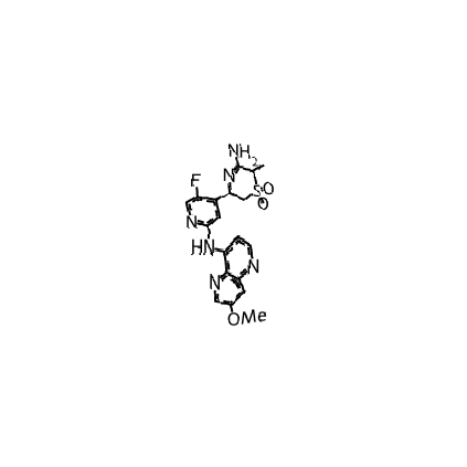 COc1cnc2c(Nc3cc([C@@H]4CS(=O)(=O)C(C)C(N)=N4)c(F)cn3)ccnc2c1